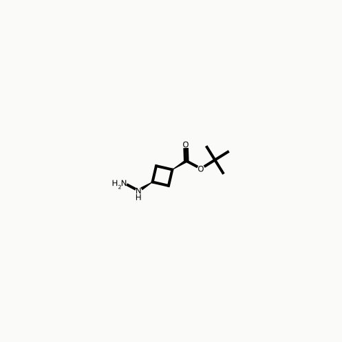 CC(C)(C)OC(=O)[C@H]1C[C@@H](NN)C1